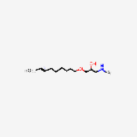 CCCCCCCC/C=C/CCCCCCOCC(O)CNC(C)C